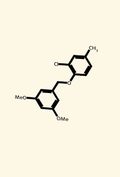 COc1cc(COc2ccc(C)cc2Cl)cc(OC)c1